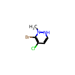 CN1NC=CC(Cl)=C1Br